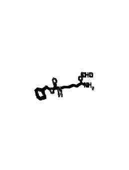 NC(CCCCNC(=O)OCc1ccccc1)OC=O